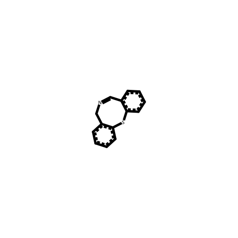 C1=N\Cc2ccccc2Sc2ccccc2/1